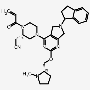 C=CC(=O)N1CCN(c2nc(OC[C@@H]3CCCN3C)nc3c2CN(C2CCc4ccccc42)C3)C[C@@H]1CC#N